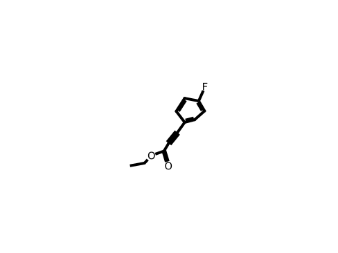 CCOC(=O)C#Cc1ccc(F)cc1